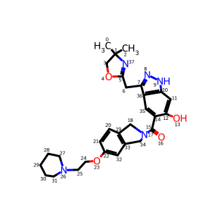 CC1(C)COC(Cc2n[nH]c3cc(O)c(C(=O)N4Cc5ccc(OCCN6CCCCC6)cc5C4)cc23)=N1